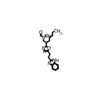 CCCCCC(CN(O)C=O)c1nnc(CCc2nc3ccccc3[nH]2)o1